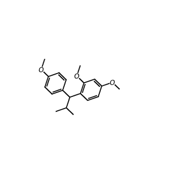 COc1ccc(C(c2ccc(OC)cc2OC)C(C)C)cc1